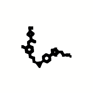 COCc1noc(N2CCC([C@H]3C[C@H]3COCc3ccc(CC(=O)N4CC(O)C4)c(F)c3)CC2)n1